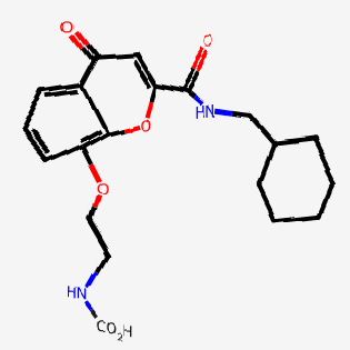 O=C(O)NCCOc1cccc2c(=O)cc(C(=O)NCC3CCCCC3)oc12